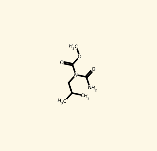 COC(=O)N(CC(C)C)C(N)=O